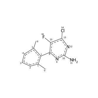 Cc1cccc(C)c1-c1nc(N)nc(Cl)c1F